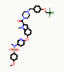 COc1ccc(S(=O)(=O)N(C)c2ccc(Oc3ccc4cc(C(=O)N5CCN(Cc6ccc(OCC(F)(F)F)cc6)CC5)n(C)c4c3)nc2)cc1